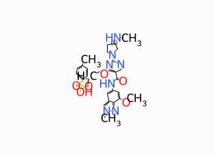 CCOc1nc(N2CC[C@H](NC)C2)ncc1C(=O)Nc1cc(OC)c2nn(C)cc2c1.Cc1ccc(S(=O)(=O)O)cc1